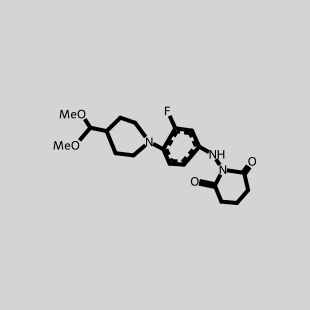 COC(OC)C1CCN(c2ccc(NN3C(=O)CCCC3=O)cc2F)CC1